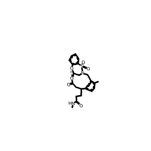 CNC(=O)CCC1CC(=O)O[C@H]2CN(Cc3cc1ccc3C)S(=O)(=O)c1ccccc1O2